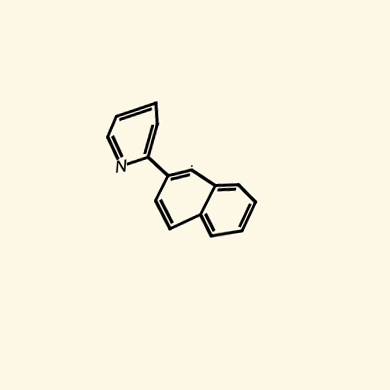 [c]1c(-c2ccccn2)ccc2ccccc12